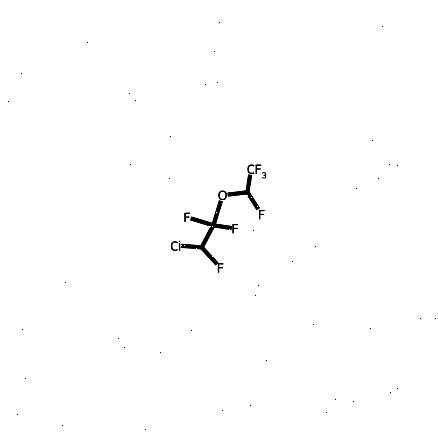 FC(OC(F)(F)C(F)Cl)C(F)(F)F